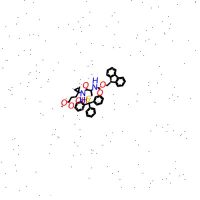 COC(=O)CC(O)C1(NC(=O)C(CSC(c2ccccc2)(c2ccccc2)c2ccccc2)NC(=O)OCC2c3ccccc3-c3ccccc32)CC1